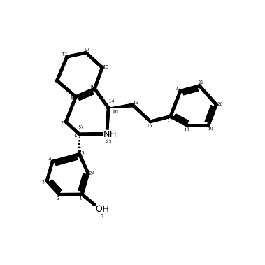 Oc1cccc([C@@H]2CC3=C(CCCC3)[C@@H](CCc3ccccc3)N2)c1